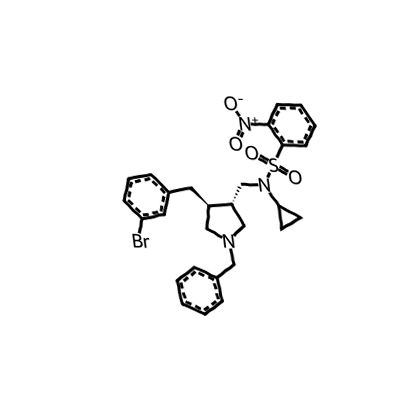 O=[N+]([O-])c1ccccc1S(=O)(=O)N(C[C@@H]1CN(Cc2ccccc2)C[C@H]1Cc1cccc(Br)c1)C1CC1